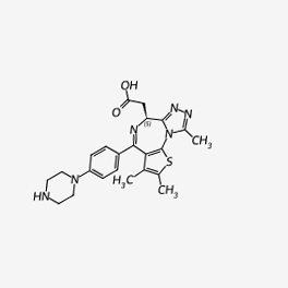 Cc1sc2c(c1C)C(c1ccc(N3CCNCC3)cc1)=N[C@@H](CC(=O)O)c1nnc(C)n1-2